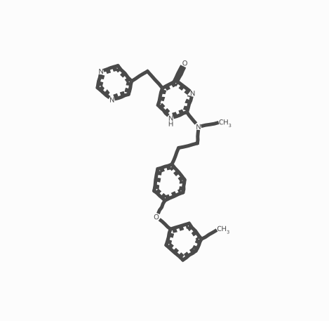 Cc1cccc(Oc2ccc(CCN(C)c3nc(=O)c(Cc4cncnc4)c[nH]3)cc2)c1